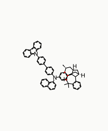 C[C@H]1C[C@@H]2C[C@@H]3C[C@H](C1)C21c2ccc(N(c4ccc(-c5ccc(-n6c7ccccc7c7ccccc76)cc5)cc4)c4cccc5ccccc45)cc2C(C)(C)c2ccccc2C31